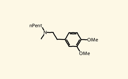 CCCCCN(C)CCc1ccc(OC)c(OC)c1